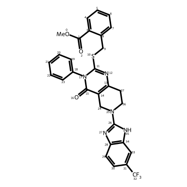 COC(=O)c1ccccc1CSc1nc2c(c(=O)n1-c1ccccc1)CN(c1nc3ccc(C(F)(F)F)cc3[nH]1)CC2